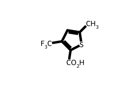 Cc1cc(C(F)(F)F)c(C(=O)O)s1